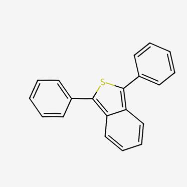 c1ccc(-c2sc(-c3ccccc3)c3ccccc23)cc1